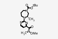 CON(C)C(=O)c1ccnc(N2CCCN(C(=O)OC(C)(C)C)C[C@@H]2C)n1